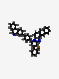 c1ccc2cc3c(ccc4c3nc3c5sc6ccccc6c5cc(-c5ccc(-c6ccc7c(c6)ncc6ccccc67)cc5)n43)cc2c1